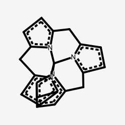 c1cc2n3c1Cc1ccc4n1C31n3c(ccc3Cc3ccc(n31)C4)C2